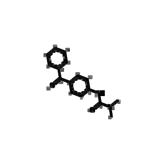 CN(C)C(=O)Nc1[c]cc(C(=O)c2ccccc2)cc1